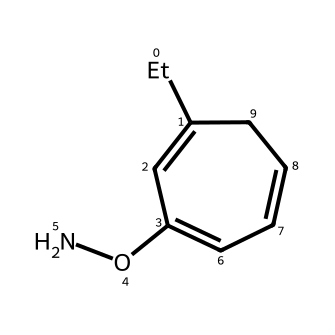 CCC1=CC(ON)=CC=CC1